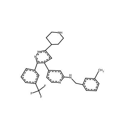 Cc1cccc(CNc2cc(-c3cc(C4CCNCC4)nnc3-c3cccc(C(F)(F)F)c3)ccn2)c1